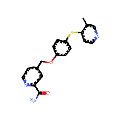 Cc1cnccc1Sc1ccc(OCc2ccnc(C(N)=O)c2)cc1